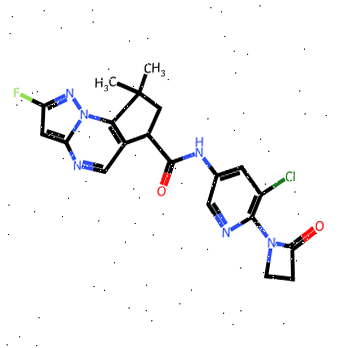 CC1(C)CC(C(=O)Nc2cnc(N3CCC3=O)c(Cl)c2)c2cnc3cc(F)nn3c21